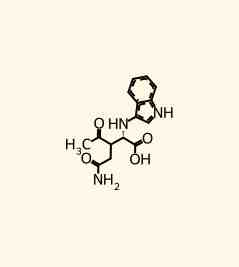 CC(=O)C(CC(N)=O)[C@H](Nc1c[nH]c2ccccc12)C(=O)O